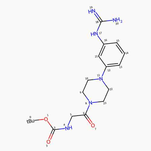 CC(C)(C)OC(=O)NCC(=O)N1CCN(c2cccc(NC(=N)N)c2)CC1